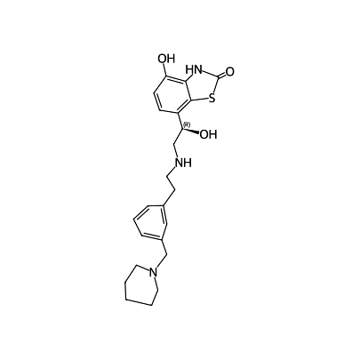 O=c1[nH]c2c(O)ccc([C@@H](O)CNCCc3cccc(CN4CCCCC4)c3)c2s1